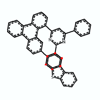 c1ccc(-c2cc(-c3cccc4c5ccccc5c5ccc(-c6ccc7c(c6)sc6ccccc67)cc5c34)nc(-c3ccccc3)n2)cc1